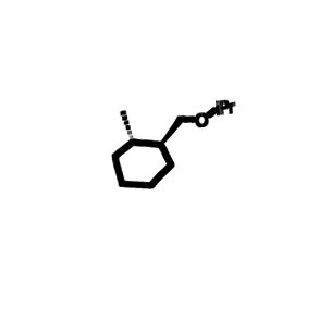 CC(C)OC[C@H]1CCCC[C@@H]1C